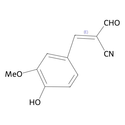 COc1cc(/C=C(\C#N)C=O)ccc1O